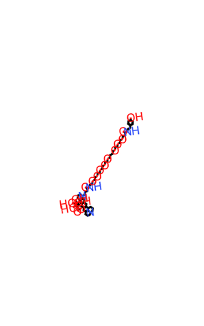 O=C(CCCN1CCCc2cc3c(cc21)Cc1c(cc2c4c1CCCN4CCC2)C31OC(=O)c2c(O)c(O)c(O)c(O)c21)NCCOCCOCCOCCOCCOCCCCOCCOCCOCCC(=O)NCCc1ccc(O)cc1